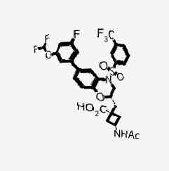 CC(=O)N[C@H]1C[C@@](C[C@H]2CN(S(=O)(=O)c3cccc(C(F)(F)F)c3)c3cc(-c4cc(F)cc(OC(F)F)c4)ccc3O2)(C(=O)O)C1